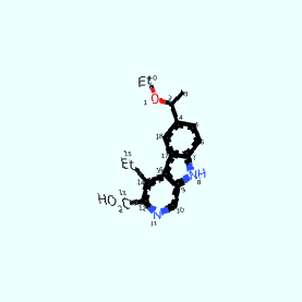 CCOC(C)c1ccc2[nH]c3cnc(C(=O)O)c(CC)c3c2c1